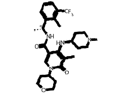 Cc1c([C@@H](C)NC(=O)c2cn(C3CCOCC3)c(=O)c(C)c2NC2CCN(C)CC2)cccc1C(F)(F)F